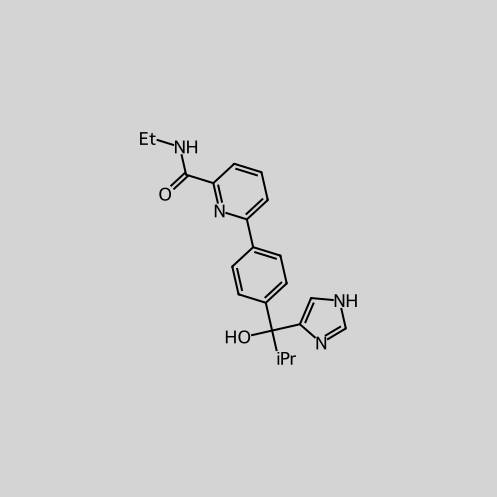 CCNC(=O)c1cccc(-c2ccc(C(O)(c3c[nH]cn3)C(C)C)cc2)n1